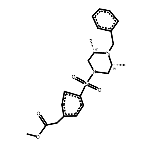 COC(=O)Cc1ccc(S(=O)(=O)N2C[C@@H](C)N(Cc3ccccc3)[C@@H](C)C2)cc1